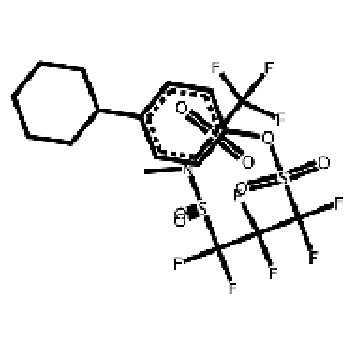 CN(S(=O)(=O)C(F)(F)F)S(=O)(=O)C(F)(F)C(F)(F)C(F)(F)S(=O)(=O)Oc1ccc(C2CCCCC2)cc1